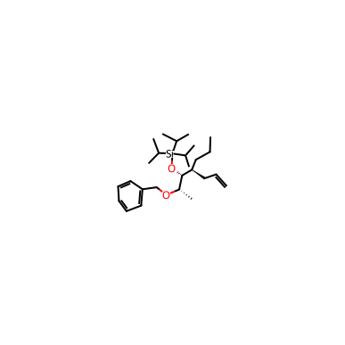 C=CC[C@H](CCC)[C@@H](O[Si](C(C)C)(C(C)C)C(C)C)[C@H](C)OCc1ccccc1